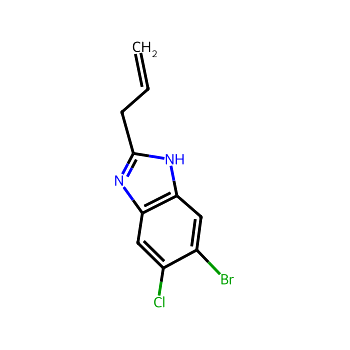 C=CCc1nc2cc(Cl)c(Br)cc2[nH]1